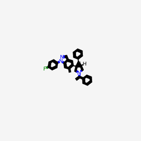 C=C(c1ccccc1)N1C[C@H]2[C@H](c3ccccc3)[C@@]2(c2cc3cnn(-c4ccc(F)cc4)c3cc2C)C1